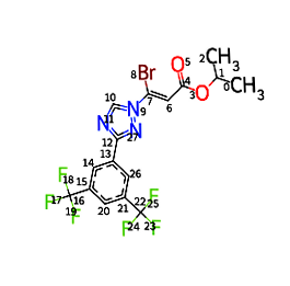 CC(C)OC(=O)C=C(Br)n1cnc(-c2cc(C(F)(F)F)cc(C(F)(F)F)c2)n1